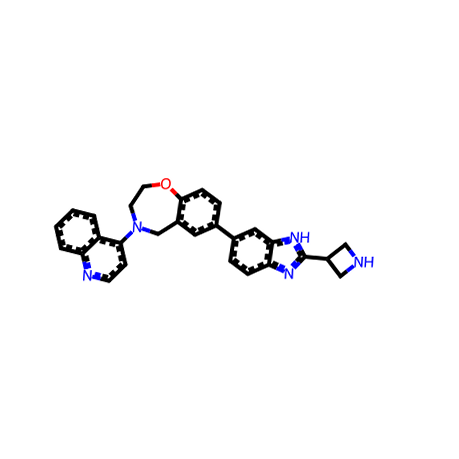 c1ccc2c(N3CCOc4ccc(-c5ccc6nc(C7CNC7)[nH]c6c5)cc4C3)ccnc2c1